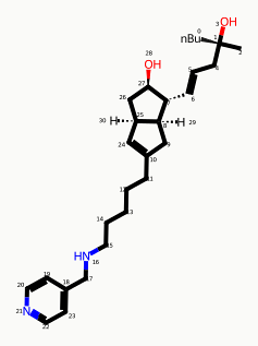 CCCC[C@](C)(O)C/C=C/[C@@H]1[C@H]2CC(CCCCCNCc3ccncc3)=C[C@H]2C[C@H]1O